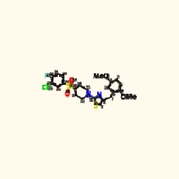 COc1ccc(OC)c(Cc2csc(N3CCC(S(=O)(=O)c4ccc(F)c(Cl)c4)CC3)n2)c1